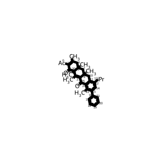 CC(=O)C1=C(C)CC2(C)CC3(C)Cc4c(C(C)C)cc(-c5ccccc5)c(C)c4C(=O)C3=C(C)C2(C)C1=O